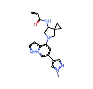 C=CC(=O)NC1CN(c2cc(-c3cnn(C)c3)cn3nccc23)CC12CC2